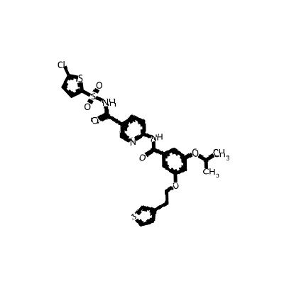 CC(C)Oc1cc(OCCc2ccsc2)cc(C(=O)Nc2ccc(C(=O)NS(=O)(=O)c3ccc(Cl)s3)cn2)c1